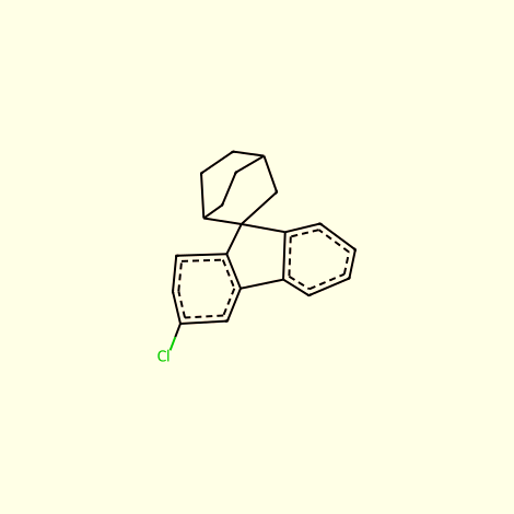 Clc1ccc2c(c1)-c1ccccc1C21CC2CCC1CC2